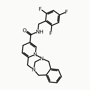 O=C(NCc1c(F)cc(F)cc1F)C1=CN2C(=CC1)CN1Cc3ccccc3CN2C1